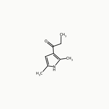 CCC(=O)c1cc(C)[nH]c1C